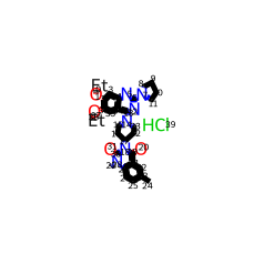 CCOc1cc2nc(N3CCCC3)nc(N3CCC(n4c(=O)c5cc(C)ccc5n(C)c4=O)CC3)c2cc1OCC.Cl